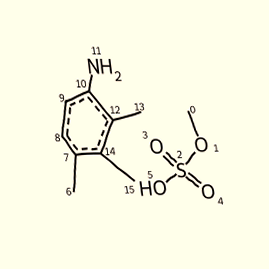 COS(=O)(=O)O.Cc1ccc(N)c(C)c1C